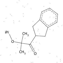 CC(C)OC(C)(C)C(=O)C1Cc2ccccc2C1